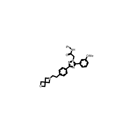 COc1cccc(-c2nc(-c3ccc(CCN4CC5(COC5)C4)cc3)nn2CC(=O)NC(C)C)c1